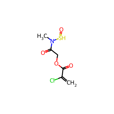 C=C(Cl)C(=O)OCC(=O)N(C)[SH]=O